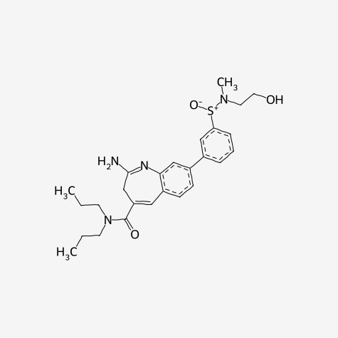 CCCN(CCC)C(=O)C1=Cc2ccc(-c3cccc([S+]([O-])N(C)CCO)c3)cc2N=C(N)C1